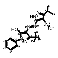 [C-]#[N+]c1c(C(C)C)n[nH]c1/N=N/c1c(C(C)(C)C)nn(-c2ccccc2)c1O